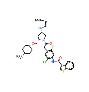 CN/C=C\N[C@H]1C[C@@H](CO[C@H]2CC[C@H](C(=O)O)CC2)N(C(=O)Cc2cc(Cl)c(NC(=O)c3csc4ccccc34)cc2F)C1